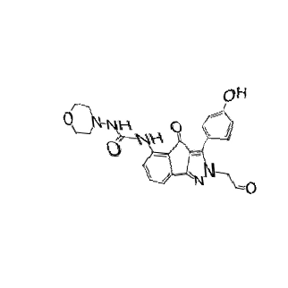 O=CCn1nc2c(c1-c1ccc(O)cc1)C(=O)c1c(NC(=O)NN3CCOCC3)cccc1-2